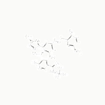 [2H]C([2H])([2H])NC(=O)c1cnc(Cl)cc1Nc1cc(COCc2nc(N)ccc2F)cc(-c2ncn(CC)n2)c1OC